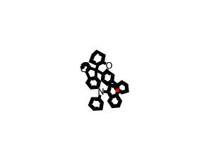 c1ccc(-c2ccc3c(c2)Oc2ccccc2C32c3ccccc3-c3ccc(N(c4ccccc4)c4cccc5ccccc45)cc32)cc1